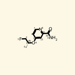 C[C@H](CF)Oc1ccnc(C(N)=O)c1